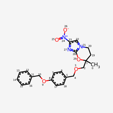 CC1(COCc2ccc(OCc3ccccc3)cc2)CCn2cc([N+](=O)[O-])nc2O1